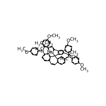 COc1ccc(N(c2ccc(OC)cc2)c2ccc3c(c2)C2(c4cc(N(c5ccc(OC)cc5)c5ccc(OC)cc5)ccc4C=C3)c3cc(C(C)(C)C)ccc3-c3cc(C(C)(C)C)nn32)cc1